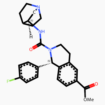 COC(=O)c1ccc2c(c1)CCN(C(=O)N[C@@H]1CN3CCC1CC3)[C@H]2c1ccc(F)cc1